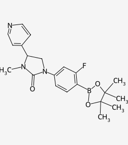 CN1C(=O)N(c2ccc(B3OC(C)(C)C(C)(C)O3)c(F)c2)CC1c1ccncc1